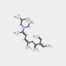 C=C/C(=C\C)C(=C)C/C(C)=C\C=C(/C)N(CC)CC(C)C